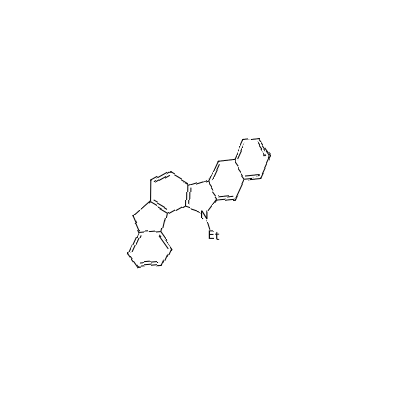 CCn1c2cc3ccccc3cc2c2ccc3c(c21)-c1ccccc1C3